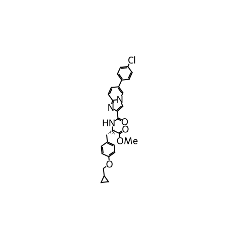 COC(=O)[C@H](Cc1ccc(OCC2CC2)cc1)NC(=O)c1cn2cc(-c3ccc(Cl)cc3)ccc2n1